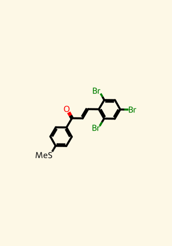 CSc1ccc(C(=O)C=Cc2c(Br)cc(Br)cc2Br)cc1